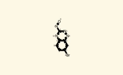 O=Nc1nnc2cc(Br)ccc2n1